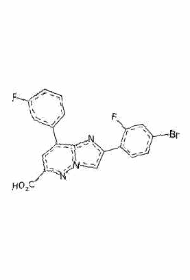 O=C(O)c1cc(-c2cccc(F)c2)c2nc(-c3ccc(Br)cc3F)cn2n1